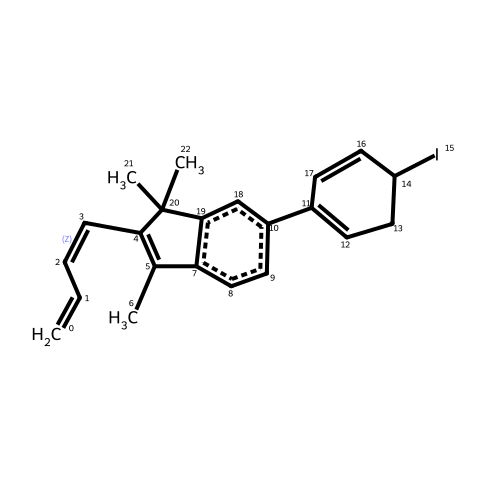 C=C/C=C\C1=C(C)c2ccc(C3=CCC(I)C=C3)cc2C1(C)C